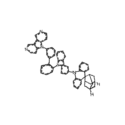 c1cc(-c2ccccc2-n2c3ccccc3c3cc(N4c5ccccc5C5(c6ccccc64)C4C[C@H]6CC5C[C@@H](C4)C6)ccc32)cc(-n2c3ccncc3c3cnccc32)c1